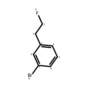 FCCc1cccc(Br)c1